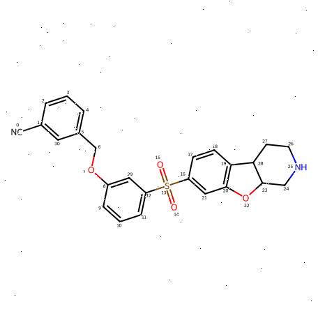 N#Cc1cccc(COc2cccc(S(=O)(=O)c3ccc4c(c3)OC3CNCCC43)c2)c1